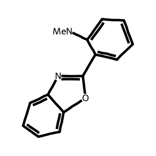 CNc1ccccc1-c1nc2ccccc2o1